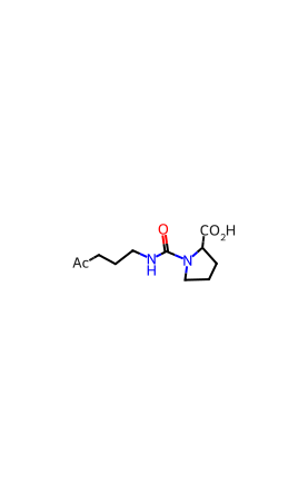 CC(=O)CCCNC(=O)N1CCCC1C(=O)O